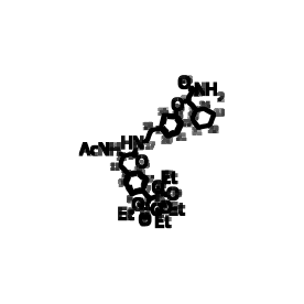 CCOP(=O)(OCC)C(c1ccc(CC(NC(C)=O)C(=O)NCCc2cccc(OC(C(N)=O)C3CCCCC3)c2)cc1)P(=O)(OCC)OCC